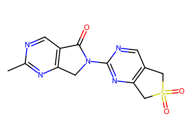 Cc1ncc2c(n1)CN(c1ncc3c(n1)CS(=O)(=O)C3)C2=O